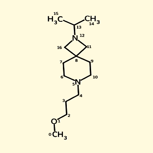 COCCCN1CCC2(CC1)CN(C(C)C)C2